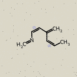 C=N/C=C\C(=C)/C=C\C